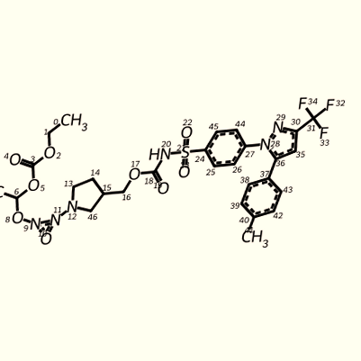 CCOC(=O)OC(C)On1on1N1CCC(COC(=O)NS(=O)(=O)c2ccc(-n3nc(C(F)(F)F)cc3-c3ccc(C)cc3)cc2)C1